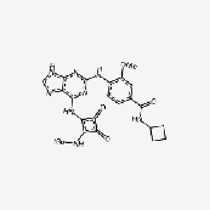 COc1cc(C(=O)NC2CCC2)ccc1Nc1nc(Nc2c(NC(C)(C)C)c(=O)c2=O)c2nc[nH]c2n1